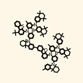 Cc1cc2c3c(c1)N(c1cccc4c1oc1ccc(-c5ccc6c(c5)N(c5ccc7c(c5)N(c5ccc(C(C)(C)C)c8c5sc5ccccc58)c5cc(C)cc8c5B7c5cc7c(cc5N8c5ccc8c(c5)C(C)(C)CCC8(C)C)C(C)(C)CCC7(C)C)C5(C)CCCCC65C)cc14)c1cc(N4c5ccc(C)cc5C5(C)CCCCC45C)ccc1B3c1cc3c(cc1N2c1ccc2c(c1)C(C)(C)CCC2(C)C)C(C)(C)CCC3(C)C